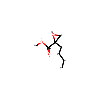 CCCCC1(C(=O)OC)CO1